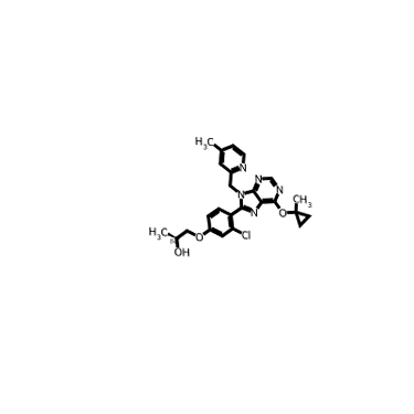 Cc1ccnc(Cn2c(-c3ccc(OC[C@H](C)O)cc3Cl)nc3c(OC4(C)CC4)ncnc32)c1